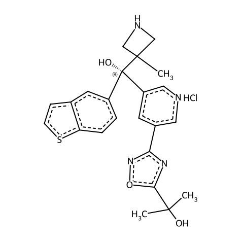 CC(C)(O)c1nc(-c2cncc([C@@](O)(c3ccc4sccc4c3)C3(C)CNC3)c2)no1.Cl